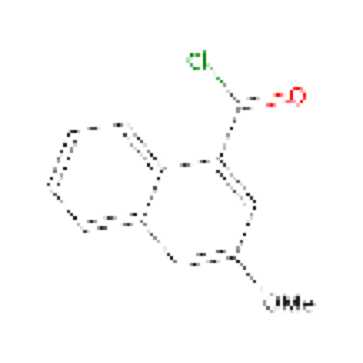 COc1cc(C(=O)Cl)c2ccccc2c1